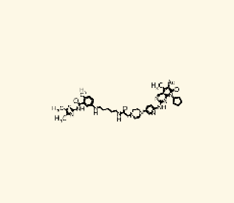 CC(=O)c1c(C)c2cnc(Nc3ccc(N4CCN(CC(=O)NCCCCCNc5ccc(C)c(C(=O)Nc6nc(C)c(C)s6)c5)CC4)cn3)nc2n(C2CCCC2)c1=O